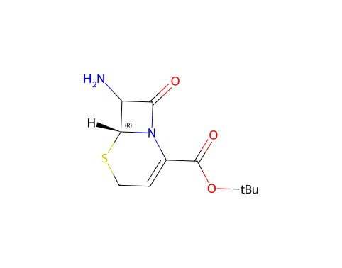 CC(C)(C)OC(=O)C1=CCS[C@@H]2C(N)C(=O)N12